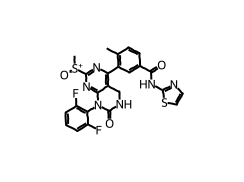 Cc1ccc(C(=O)Nc2nccs2)cc1-c1nc([S+](C)[O-])nc2c1CNC(=O)N2c1c(F)cccc1F